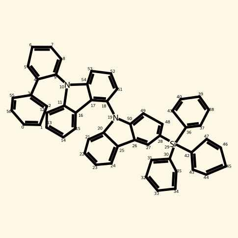 c1ccc(-c2ccccc2-n2c3ccccc3c3c(-n4c5ccccc5c5cc([Si](c6ccccc6)(c6ccccc6)c6ccccc6)ccc54)cccc32)cc1